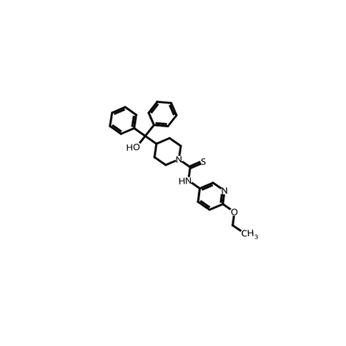 CCOc1ccc(NC(=S)N2CCC(C(O)(c3ccccc3)c3ccccc3)CC2)cn1